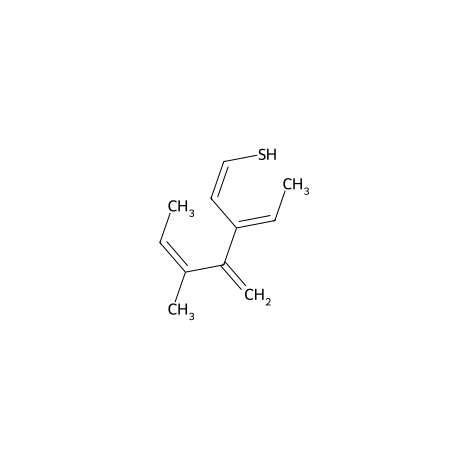 C=C(/C(C)=C\C)C(/C=C\S)=C/C